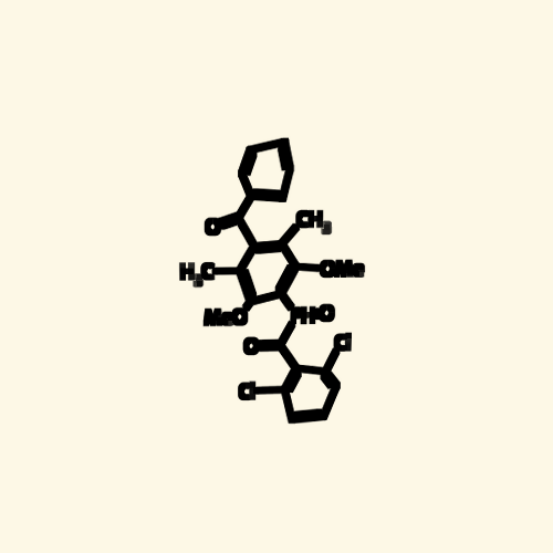 COc1c(C)c(C(=O)c2ccccc2)c(C)c(OC)c1[PH](=O)C(=O)c1c(Cl)cccc1Cl